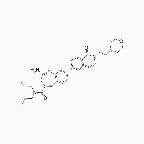 CCCN(CCC)C(=O)C1=Cc2ccc(-c3ccc4c(=O)n(CCN5CCOCC5)ccc4c3)cc2N=C(N)C1